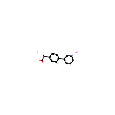 CC(C(=O)O)c1ccc(-c2cccc([N+](=O)[O-])c2)c(F)c1